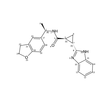 C[C@@H](NC(=O)[C@H]1C[C@@H]1c1nc2ccccc2[nH]1)c1ccc2c(c1)CCO2